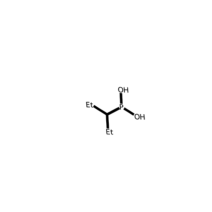 CCC(CC)P(O)O